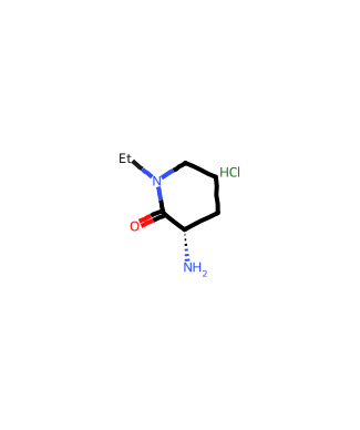 CCN1CCC[C@H](N)C1=O.Cl